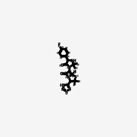 CC1(C)S[C@H]2C(N3C(=O)C(c4ccc(F)cc4)NC3(C)C)C(=O)N2C1c1nnn[nH]1